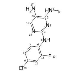 CNc1nc(Nc2ccc(Cl)cc2F)ncc1N